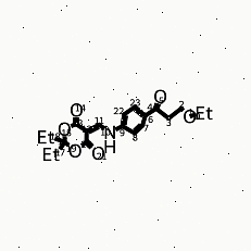 CCOCCC(=O)c1ccc(NC=C2C(=O)OC(CC)(CC)OC2=O)cc1